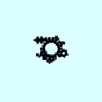 CC(C)C[C@H]1C(=O)NC(C2CCCCC2)C(=O)N[C@@H](CN)C(=O)N[C@@H]([C@H](C)O)C(=O)NCCN(CC2CC3(CCC3)C2)[C@@H](C)C(=O)N1C